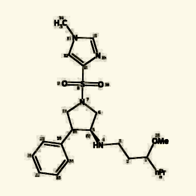 CCCC(CCN[C@@H]1CN(S(=O)(=O)c2cn(C)cn2)CC1c1ccccc1)OC